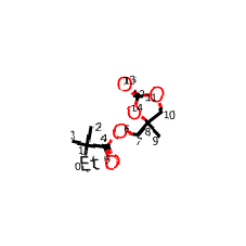 CCC(C)(C)C(=O)OCC1(C)COC(=O)O1